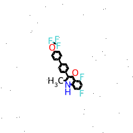 Cc1[nH]c2cc(F)cc(F)c2c(=O)c1-c1ccc(-c2ccc(OC(F)(F)F)cc2)cc1